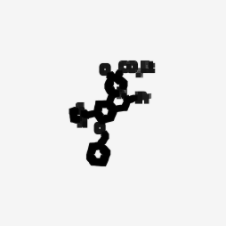 CCOC(=O)c1cn2c(cc1=O)-c1cc(-c3nccs3)c(OCc3ccccc3)cc1CC2C(C)C